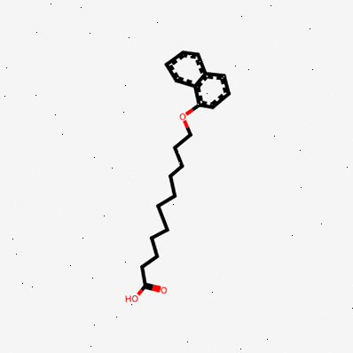 O=C(O)CCCCCCCCCCOc1cccc2ccccc12